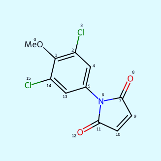 COc1c(Cl)cc(N2C(=O)C=CC2=O)cc1Cl